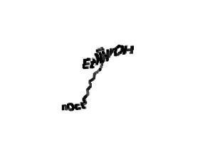 CCCCCCCCC=CCCCCCCCC1=[N+](CCO)CCN1CC